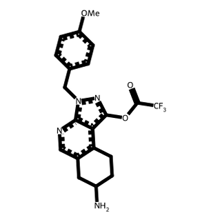 COc1ccc(Cn2nc(OC(=O)C(F)(F)F)c3c4c(cnc32)CC(N)CC4)cc1